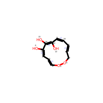 OC1=C/C=C/OOC/C=C/C=C\C(O)=C\1O